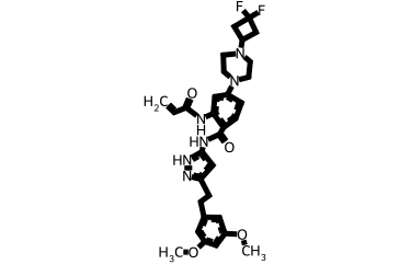 C=CC(=O)Nc1cc(N2CCN(C3CC(F)(F)C3)CC2)ccc1C(=O)Nc1cc(CCc2cc(OC)cc(OC)c2)n[nH]1